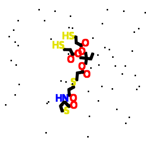 CCC(COC(=O)CCS)(COC(=O)CCS)COC(=O)CCSCCC(=O)NC1CCSC1=O